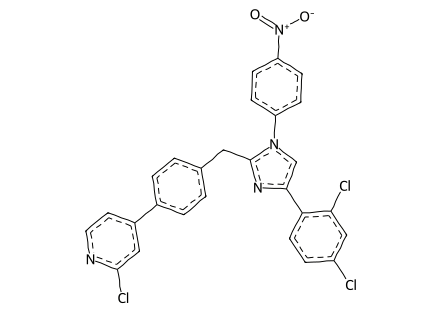 O=[N+]([O-])c1ccc(-n2cc(-c3ccc(Cl)cc3Cl)nc2Cc2ccc(-c3ccnc(Cl)c3)cc2)cc1